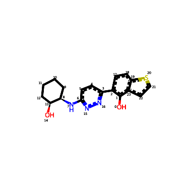 Oc1c(-c2ccc(N[C@@H]3CCCC[C@@H]3O)nn2)ccc2sccc12